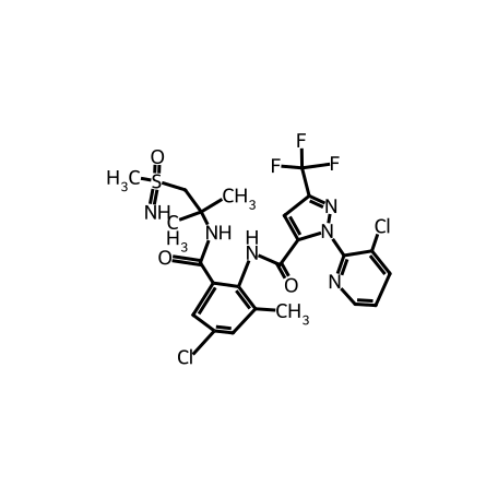 Cc1cc(Cl)cc(C(=O)NC(C)(C)CS(C)(=N)=O)c1NC(=O)c1cc(C(F)(F)F)nn1-c1ncccc1Cl